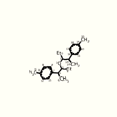 CCC(OC(CC)C(C)c1ccc(C)cc1)C(C)c1ccc(C)cc1